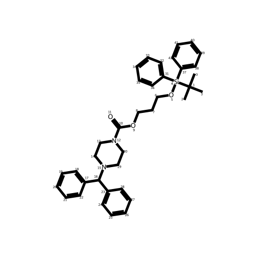 CC(C)(C)[Si](OCCCOC(=O)N1CCN(C(c2ccccc2)c2ccccc2)CC1)(c1ccccc1)c1ccccc1